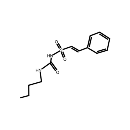 CCCCNC(=O)NS(=O)(=O)C=Cc1ccccc1